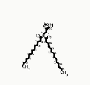 CCCCCCCCCCCCCC(=O)N(CCc1c[nH]cn1)C(=O)CCCCCCCCCCCCC